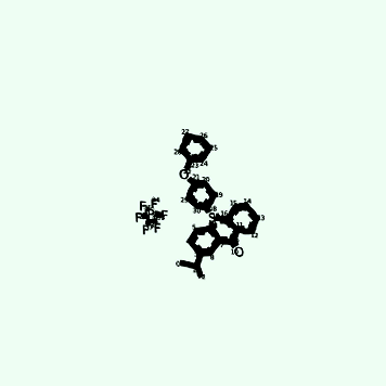 CC(C)c1ccc2c(c1)c(=O)c1ccccc1[s+]2-c1ccc(Oc2ccccc2)cc1.F[P-](F)(F)(F)(F)F